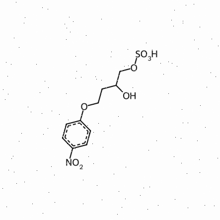 O=[N+]([O-])c1ccc(OCCC(O)COS(=O)(=O)O)cc1